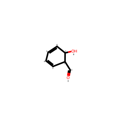 O=CC1C=CC=CC1O